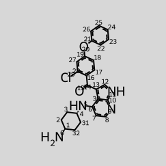 N[C@H]1CC[C@H](Nc2ccnc3[nH]cc(C(=O)c4ccc(Oc5ccccc5)cc4Cl)c23)CC1